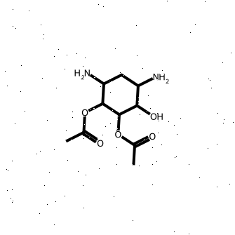 CC(=O)OC1C(N)CC(N)C(O)C1OC(C)=O